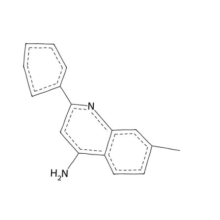 Cc1ccc2c(N)cc(-c3ccccc3)nc2c1